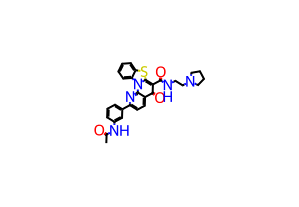 CC(=O)Nc1cccc(-c2ccc3c(=O)c(C(=O)NCCN4CCCC4)c4sc5ccccc5n4c3n2)c1